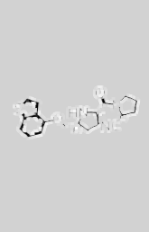 N#C[C@@H]1CCCN1C(=O)[C@@H]1CC[C@H](COc2cccc3sccc23)N1